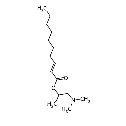 CCCCCCCC=CC(=O)OC(C)CN(C)C